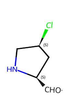 O=[C][C@@H]1C[C@H](Cl)CN1